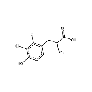 NC(Cc1ccc(O)c(Cl)c1Cl)C(=O)O